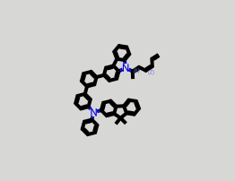 C=C/C=C\C=C(/C)n1c2ccccc2c2cc(-c3cccc(-c4cccc(N(c5ccccc5)c5ccc6c(c5)C(C)(C)c5ccccc5-6)c4)c3)ccc21